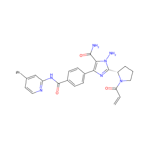 C=CC(=O)N1CCC[C@H]1c1nc(-c2ccc(C(=O)Nc3cc(C(C)C)ccn3)cc2)c(C(N)=O)n1N